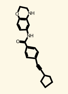 O=C(Nc1ccc2c(c1)NCCO2)c1ccc(C#CC2CCCC2)cc1